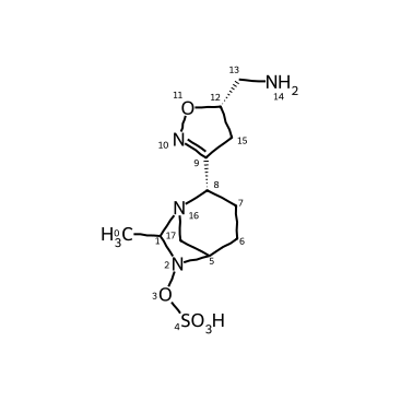 CC1N(OS(=O)(=O)O)C2CC[C@@H](C3=NO[C@H](CN)C3)N1C2